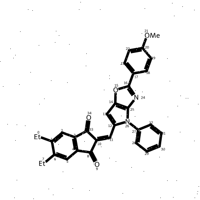 CCc1cc2c(cc1CC)C(=O)C(=Cc1cc3oc(-c4ccc(OC)cc4)nc3n1-c1ccccc1)C2=O